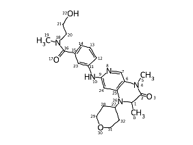 CC1C(=O)N(C)c2cnc(Nc3cccc(C(=O)N(C)CCO)c3)cc2N1C1CCOCC1